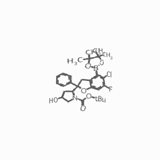 CC(C)(C)OC(=O)N1CC(O)CC1C1(c2ccccc2)Cc2c(cc(F)c(Cl)c2B2OC(C)(C)C(C)(C)O2)O1